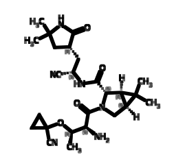 C[C@@H](OC1(C#N)CC1)[C@H](N)C(=O)N1C[C@H]2[C@@H]([C@H]1C(=O)N[C@H](C#N)C[C@@H]1CC(C)(C)NC1=O)C2(C)C